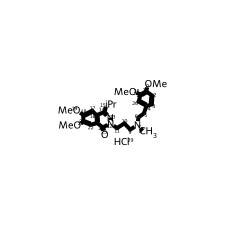 COc1ccc(CCN(C)CCCn2nc(C(C)C)c3cc(OC)c(OC)cc3c2=O)cc1OC.Cl